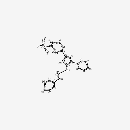 CS(=O)(=O)c1nccc(-c2cn(-c3ccccc3)c(COCc3ccccc3)n2)n1